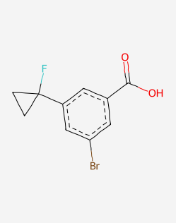 O=C(O)c1cc(Br)cc(C2(F)CC2)c1